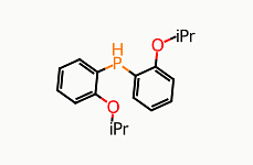 CC(C)Oc1ccccc1Pc1ccccc1OC(C)C